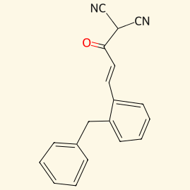 N#CC(C#N)C(=O)C=Cc1ccccc1Cc1ccccc1